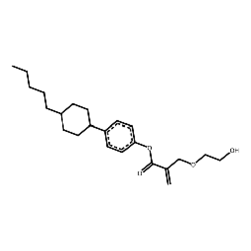 C=C(COCCO)C(=O)Oc1ccc(C2CCC(CCCCC)CC2)cc1